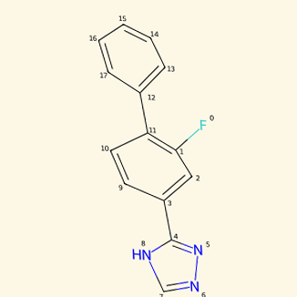 Fc1cc(-c2nnc[nH]2)ccc1-c1ccccc1